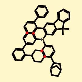 CC1(C)c2ccccc2-c2cc(-c3ccccc3-c3ccccc3)c(N(c3ccc(C4CC5CCC4C5)cc3)c3cccc(-c4ccccc4C4CCCCC4)c3)cc21